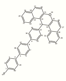 Fc1ccc(-c2ccc(-c3ccc(C4c5c(ccc6ccccc56)Oc5ccc6ccccc6c54)cc3)cc2)cc1